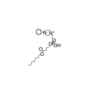 CCCCCCCOC(=O)CCCOP(O)OCC[N+]1(C)CCN(c2ccccc2)CC1